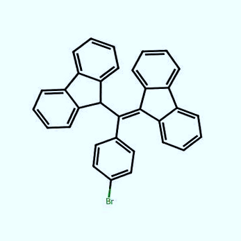 Brc1ccc(C(=C2c3ccccc3-c3ccccc32)C2c3ccccc3-c3ccccc32)cc1